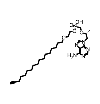 C#CCCCCCCCCCCCCCCCOCCOP(=O)(O)CO[C@H](C)Cn1cnc2c(N)ncnc21